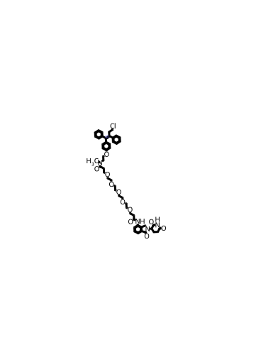 CN(CCOc1ccc(/C(=C(/CCCl)c2ccccc2)c2ccccc2)cc1)C(=O)CCOCCOCCOCCOCCOCCC(=O)Nc1cccc2c1CN(C1CCC(=O)NC1=O)C2=O